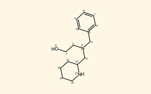 OCCN(Cc1ccccc1)CC1CCCCN1